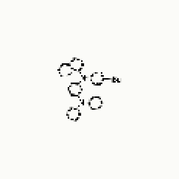 CCC(C)c1ccc(N(c2cccc(N(c3ccccc3)c3ccccc3)c2)c2cccc3ccccc23)cc1